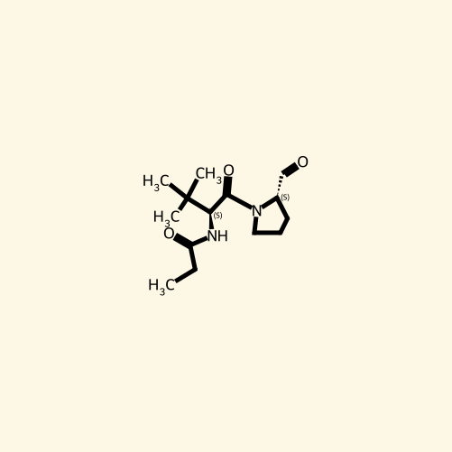 CCC(=O)N[C@H](C(=O)N1CCC[C@H]1C=O)C(C)(C)C